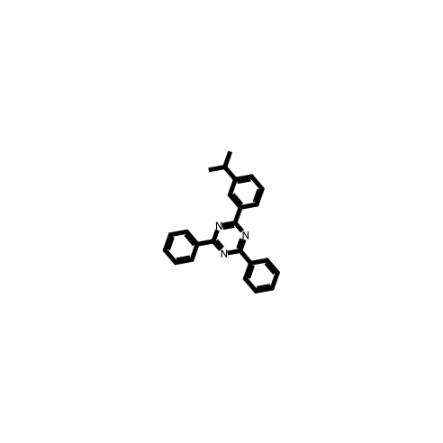 CC(C)c1cccc(-c2nc(-c3ccccc3)nc(-c3ccccc3)n2)c1